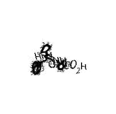 Cc1ccccc1-c1nc(C(=O)Nc2cccc(C(=O)O)c2C)c(CCC23CC4CC(CC(C4)C2)C3)[nH]1